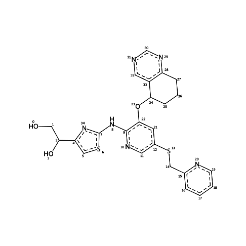 OCC(O)c1csc(Nc2ncc(SCc3ccccn3)cc2OC2CCCc3ncncc32)n1